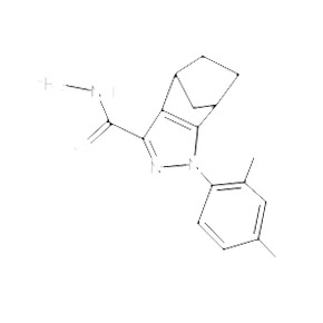 CC(C)(C)NC(=O)c1nn(-c2ccc(F)cc2F)c2c1C1CCC2C1